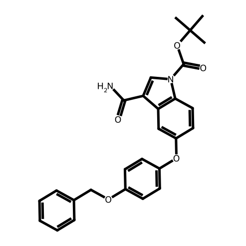 CC(C)(C)OC(=O)n1cc(C(N)=O)c2cc(Oc3ccc(OCc4ccccc4)cc3)ccc21